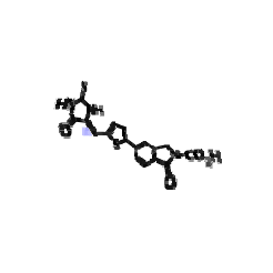 O=C1NC(=S)N/C1=C\c1ccc(-c2ccc3c(c2)CN(C(=O)O)C3=O)s1